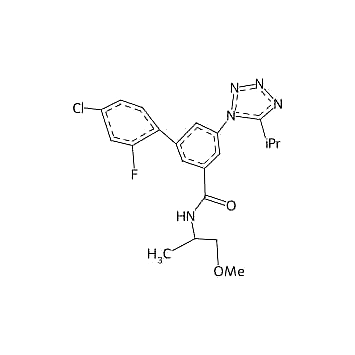 COCC(C)NC(=O)c1cc(-c2ccc(Cl)cc2F)cc(-n2nnnc2C(C)C)c1